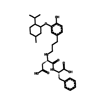 CC1CCC(C(C)C)C(Oc2cc(CCCN[C@@H](CC(=O)O)C(=O)N[C@@H](Cc3ccccc3)C(=O)O)ccc2O)C1